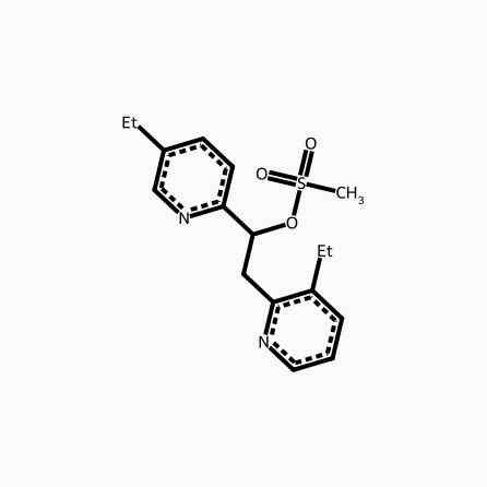 CCc1ccc(C(Cc2ncccc2CC)OS(C)(=O)=O)nc1